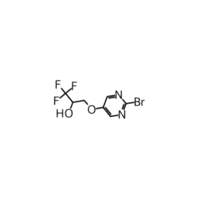 OC(COc1cnc(Br)nc1)C(F)(F)F